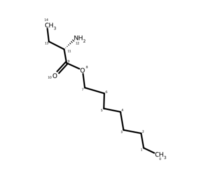 CCCCCCCCOC(=O)[C@@H](N)CC